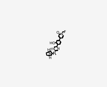 CN(c1cnc(-c2ccc(-c3ccn(CF)c(=O)c3)cc2O)cn1)[C@@H]1C[C@H]2CC[C@H](N2)[C@@H]1F